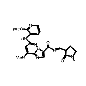 CNc1cc(Nc2cccnc2OC)nn2c(C(=O)/N=C/C3CCN(C)C3=O)cnc12